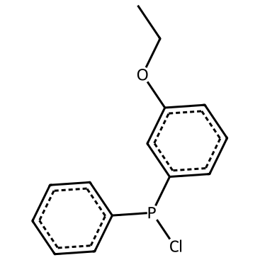 CCOc1cccc(P(Cl)c2ccccc2)c1